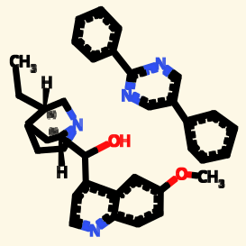 CC[C@@H]1CN2CCC1C[C@H]2C(O)c1ccnc2ccc(OC)cc12.c1ccc(-c2cnc(-c3ccccc3)nc2)cc1